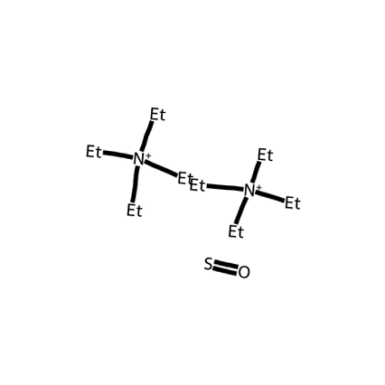 CC[N+](CC)(CC)CC.CC[N+](CC)(CC)CC.O=S